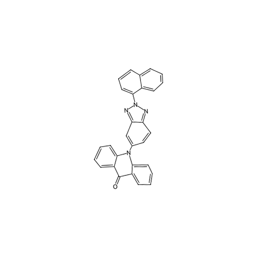 O=c1c2ccccc2n(-c2ccc3nn(-c4cccc5ccccc45)nc3c2)c2ccccc12